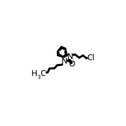 CCCCCCn1c(=O)n(CCCCCl)c2ccccc21